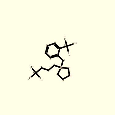 FC(F)(F)CCC[N+]1(Cc2ccccc2C(F)(F)F)CCCC1